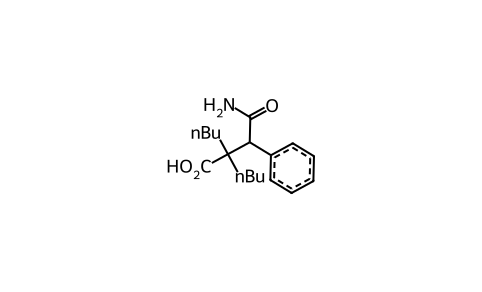 CCCCC(CCCC)(C(=O)O)C(C(N)=O)c1ccccc1